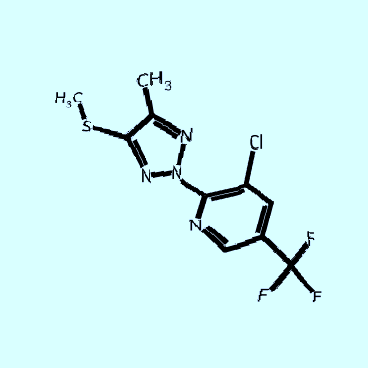 CSc1nn(-c2ncc(C(F)(F)F)cc2Cl)nc1C